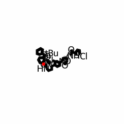 CC(C)(C)[Si](OCCN1C(=O)NCCC1c1ccc(N2C[C@H](CNC(=O)c3ccc(Cl)s3)OC2=O)cc1Cl)(c1ccccc1)c1ccccc1